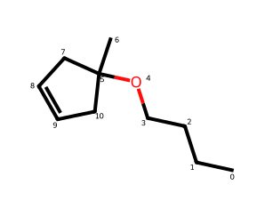 CCCCOC1(C)CC=CC1